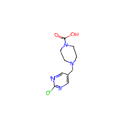 O=C(O)N1CCN(Cc2cnc(Cl)nc2)CC1